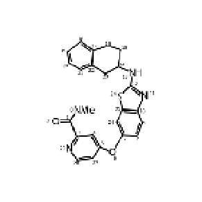 CNC(=O)c1cc(Oc2ccc3nc(NC4CCc5ccccc5C4)sc3c2)ccn1